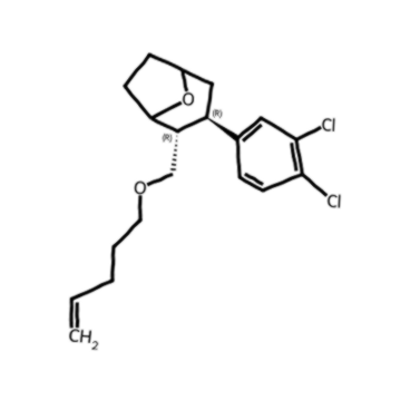 C=CCCCOC[C@@H]1C2CCC(C[C@H]1c1ccc(Cl)c(Cl)c1)O2